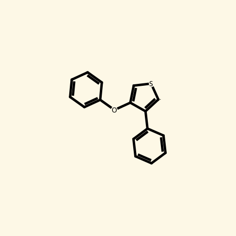 [c]1scc(Oc2ccccc2)c1-c1ccccc1